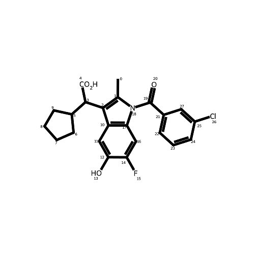 Cc1c(C(C(=O)O)C2CCCC2)c2cc(O)c(F)cc2n1C(=O)c1cccc(Cl)c1